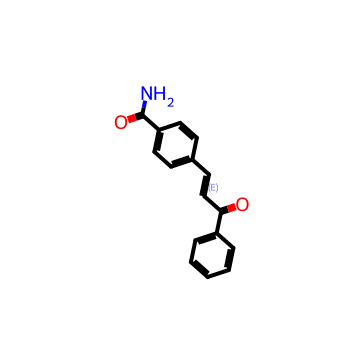 NC(=O)c1ccc(/C=C/C(=O)c2ccccc2)cc1